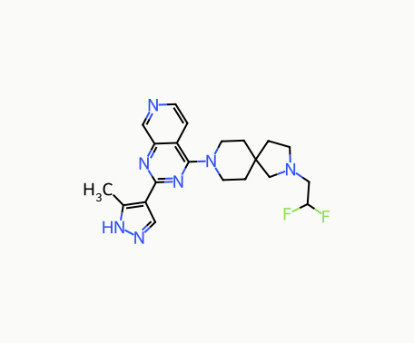 Cc1[nH]ncc1-c1nc(N2CCC3(CCN(CC(F)F)C3)CC2)c2ccncc2n1